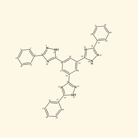 c1ccc(-c2n[nH]c(-c3cc(-c4n[nH]c(-c5ccccc5)n4)cc(-c4nc(-c5ccccc5)n[nH]4)c3)n2)cc1